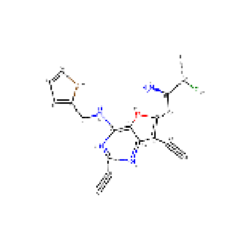 C#Cc1nc(NCc2cccs2)c2oc(C[C@@H](N)[C@H](C)F)c(C#C)c2n1